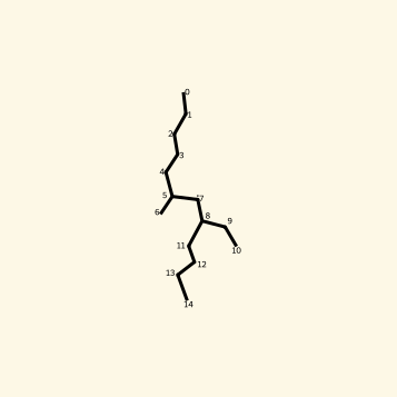 CCCCCC(C)[CH]C(CC)CCCC